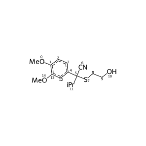 COc1ccc(C(C#N)(SCCO)C(C)C)cc1OC